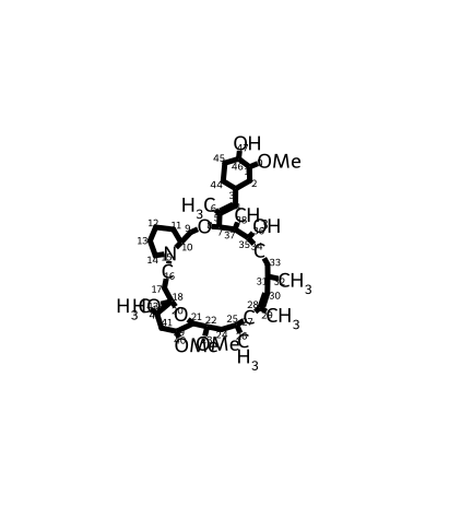 COC1CC(C=C(C)C2OCC3CCCCN3CCC3(O)OC(C(OC)CC(C)C/C(C)=C\C(C)CCC(O)C2C)C(OC)CC3C)CCC1O